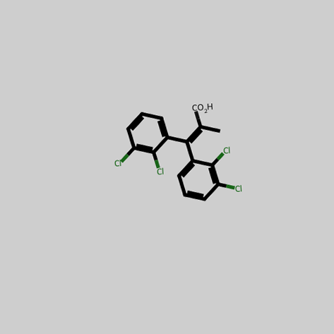 CC(C(=O)O)=C(c1cccc(Cl)c1Cl)c1cccc(Cl)c1Cl